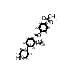 CS(=O)(=O)c1ccc(OC[C@H]2CC[C@H](N3CCNCC3)CC2)cc1.Cl.Cl